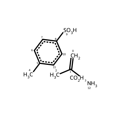 C=C(C)C(=O)O.Cc1ccc(S(=O)(=O)O)cc1.N